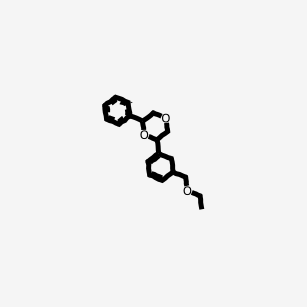 CCOCC1C=CC=C(C2COCC(c3[c]cccc3)O2)C1